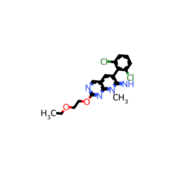 CCOCCOc1ncc2cc(-c3c(Cl)cccc3Cl)c(=N)n(C)c2n1